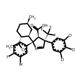 CC(C)[C@@H]1CC[C@@H](C)C[C@H]1[C@@]1(c2ccc(F)c(Br)c2)N=C[C@@](c2cc(Cl)c(Cl)c(Cl)c2)(C(F)(F)F)[C@@H]1C(=O)O